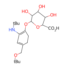 CC(C)(C)NC1=C(OC2OC(C(=O)O)C(O)C(O)C2O)CCC(COC(C)(C)C)=C1